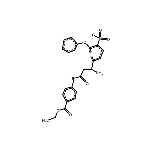 CCOC(=O)c1ccc(NC(=O)CC(N)c2ccc(S(=O)(=O)F)c(Oc3ccccc3)c2)cc1